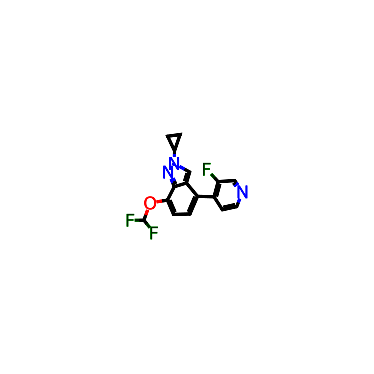 Fc1cnccc1-c1ccc(OC(F)F)c2nn(C3CC3)cc12